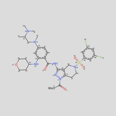 COC(=O)n1nc(NC(=O)c2ccc(N(C)CC(C)N(C)C)cc2NC2CCOCC2)c2c1CCN(S(=O)(=O)c1cc(F)cc(F)c1)C2